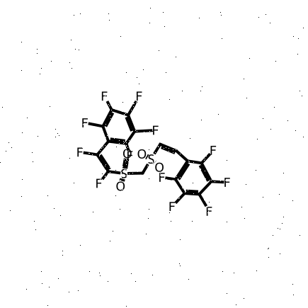 O=S(=O)(/C=C\c1c(F)c(F)c(F)c(F)c1F)CS(=O)(=O)/C(F)=C(/F)c1c(F)c(F)c(F)c(F)c1F